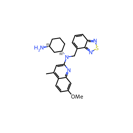 COc1ccc2c(C)cc(N(Cc3cccc4nsnc34)[C@H]3CCC[C@H](N)C3)nc2c1